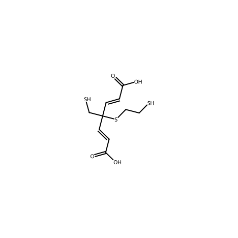 O=C(O)C=CC(C=CC(=O)O)(CS)SCCS